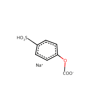 O=C([O-])Oc1ccc(S(=O)(=O)O)cc1.[Na+]